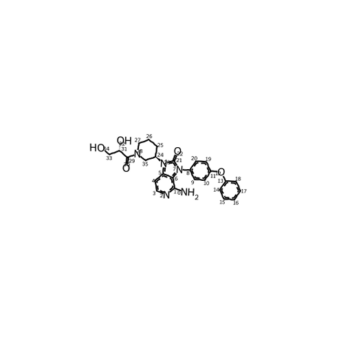 Nc1nccc2c1n(-c1ccc(Oc3ccccc3)cc1)c(=O)n2[C@@H]1CCCN(C(=O)[C@@H](O)CO)C1